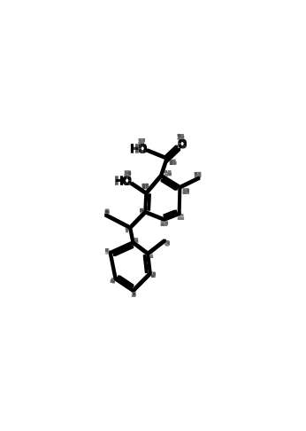 Cc1ccccc1C(C)c1ccc(C)c(C(=O)O)c1O